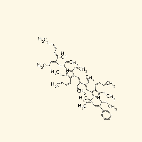 C=C\C=C/C=C(C)/C(=C/C=C)/C=C(\C=C)n1c(C=C)c(/C=C\C=C)c(/C=C(C=C)/C(C=C)=C/c2c(/C=C\C=C)c(C=C)n(C(=C/C)/C(=C\C=C/C)c3ccccc3)c2C=C)c1C=C